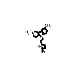 Cc1ccc2c(c1)c1c(n2CCc2ccc(C(C)C)[nH]2)CCN(C)C1